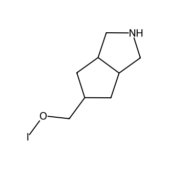 IOCC1CC2CNCC2C1